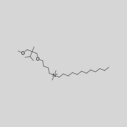 CCCCCCCCCCCC[N+](C)(C)CCCCOCC(C)(COC)C(C)C